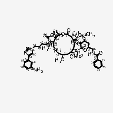 CC[C@H]1OC(=O)[C@H](C)C(=O)[C@H](C)[C@@H](O[C@@H]2OC(CNC(=O)c3ccccc3)CC(N(C)C)C2O)[C@](C)(OC)C[C@@H](C)CN[C@H](C)[C@H]2N(CCCCn3cc(-c4cccc(N)c4)nn3)C(=O)O[C@]12C